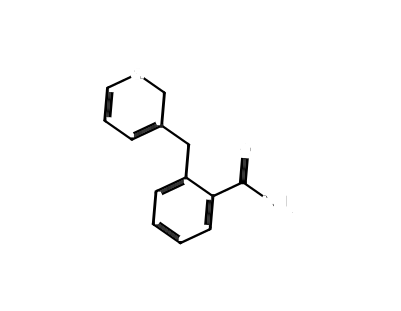 NC(=O)c1ccccc1CC1=CC=CSC1